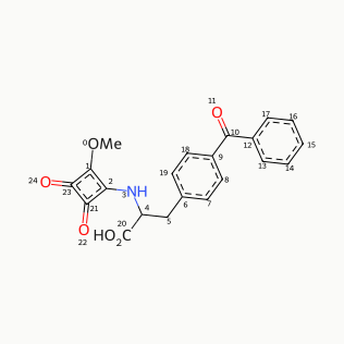 COc1c(NC(Cc2ccc(C(=O)c3ccccc3)cc2)C(=O)O)c(=O)c1=O